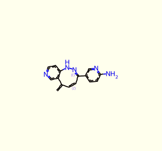 C=C1/C=C\C(c2ccc(N)nc2)=N/Nc2ccncc21